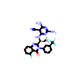 CC[C@H](Nc1nc(N)nc(N)c1C#N)c1nc2cccc(F)c2c(=O)n1-c1cccc(C(F)(F)F)c1